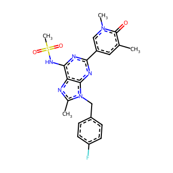 Cc1cc(-c2nc(NS(C)(=O)=O)c3nc(C)n(Cc4ccc(F)cc4)c3n2)cn(C)c1=O